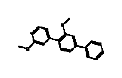 COc1[c]ccc(-c2ccc(-c3ccccc3)cc2OC)c1